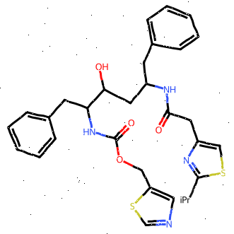 CC(C)c1nc(CC(=O)NC(Cc2ccccc2)CC(O)C(Cc2ccccc2)NC(=O)OCc2cncs2)cs1